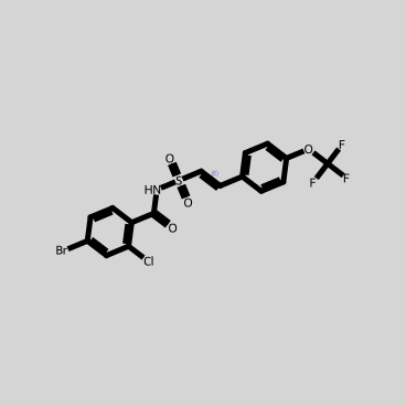 O=C(NS(=O)(=O)/C=C/c1ccc(OC(F)(F)F)cc1)c1ccc(Br)cc1Cl